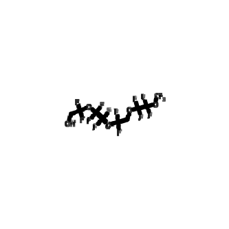 OCC(F)(F)OC(F)(F)C(F)(F)OC(F)(F)COC(F)(F)C(F)(F)OC(F)(F)F